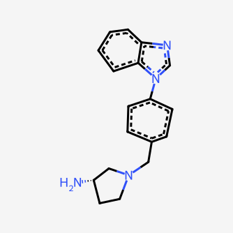 N[C@H]1CCN(Cc2ccc(-n3cnc4ccccc43)cc2)C1